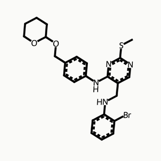 CSc1ncc(CNc2ccccc2Br)c(Nc2ccc(COC3CCCCO3)cc2)n1